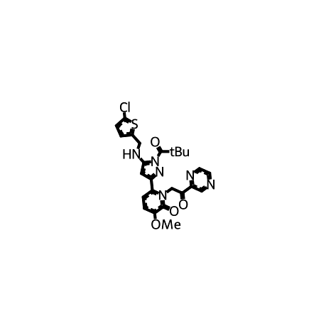 COc1ccc(-c2cc(NCc3ccc(Cl)s3)n(C(=O)C(C)(C)C)n2)n(CC(=O)c2cnccn2)c1=O